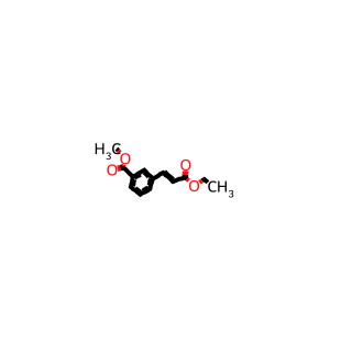 CCOC(=O)C=Cc1cccc(C(=O)OC)c1